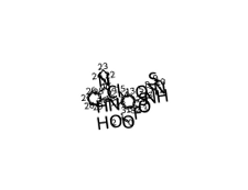 O=CO.O=S(=O)(Nc1cscn1)c1cc(Cl)c(N[C@H]2C[C@H](N3CCC3)c3ccccc32)cc1F